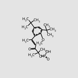 COc1c(C(C)=CC(=O)C(C)(C)O[PH](=O)O)cc(C(C)(C)C)cc1C(C)(C)C